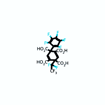 O=C(O)C1=CC(C(=O)O)(C(F)(F)C(F)(F)F)C(C(=O)O)=CC1(C(=O)O)c1c(F)c(F)c(F)c(F)c1F